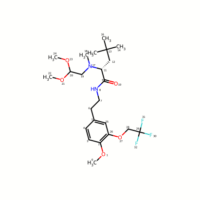 COc1ccc(CCNC(=O)[C@@H](CC(C)(C)C)N(C)CC(OC)OC)cc1OCC(F)(F)F